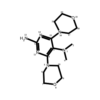 CN(C)c1c(N2CCOCC2)nc(N)nc1N1CCOCC1